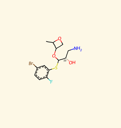 CC1OCC1OC(Sc1cc(Br)ccc1F)[C@@H](O)CN